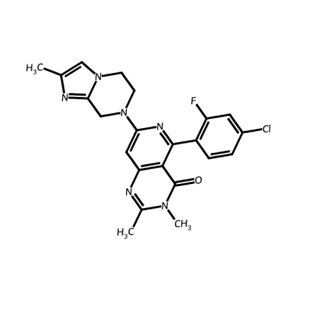 Cc1cn2c(n1)CN(c1cc3nc(C)n(C)c(=O)c3c(-c3ccc(Cl)cc3F)n1)CC2